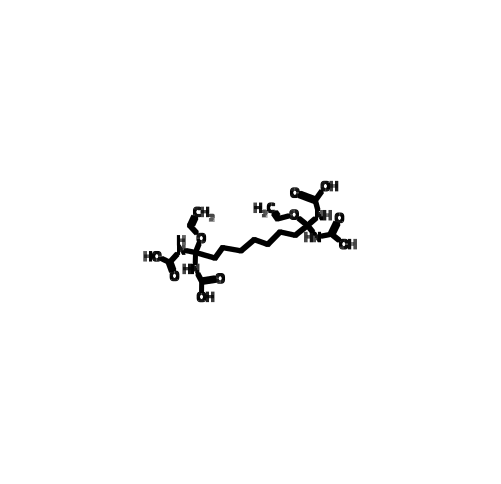 C=COC(CCCCCCCC(NC(=O)O)(NC(=O)O)OC=C)(NC(=O)O)NC(=O)O